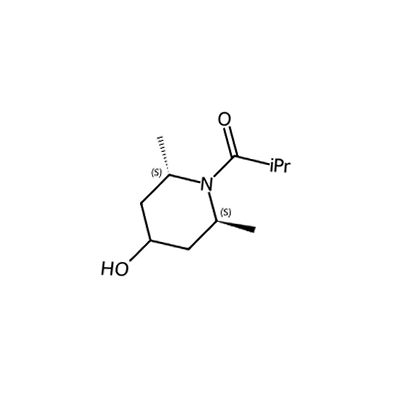 CC(C)C(=O)N1[C@@H](C)CC(O)C[C@@H]1C